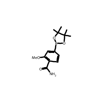 COc1cc(B2OC(C)(C)C(C)(C)O2)ccc1C(N)=O